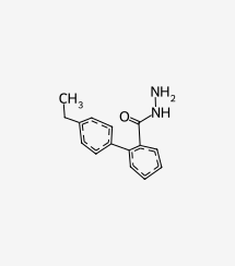 CCc1ccc(-c2ccccc2C(=O)NN)cc1